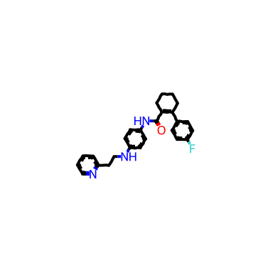 O=C(Nc1ccc(NCCc2ccccn2)cc1)C1=C(c2ccc(F)cc2)CCCC1